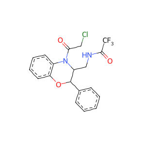 O=C(CCl)N1c2ccccc2OC(c2ccccc2)C1CNC(=O)C(F)(F)F